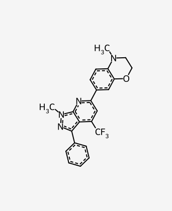 CN1CCOc2cc(-c3cc(C(F)(F)F)c4c(-c5ccccc5)nn(C)c4n3)ccc21